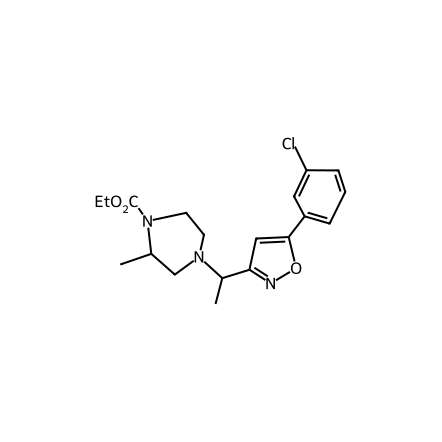 CCOC(=O)N1CCN(C(C)c2cc(-c3cccc(Cl)c3)on2)CC1C